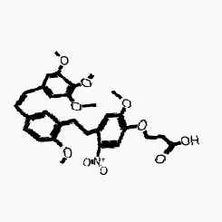 COc1ccc(/C=C\c2cc(OC)c(OC)c(OC)c2)cc1CCc1cc(OC)c(OCCC(=O)O)cc1[N+](=O)[O-]